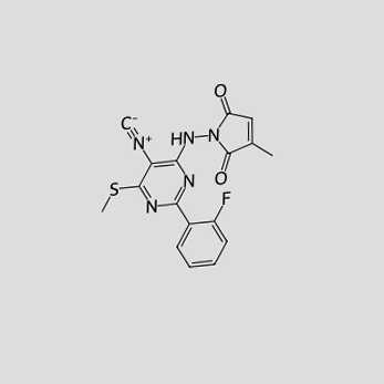 [C-]#[N+]c1c(NN2C(=O)C=C(C)C2=O)nc(-c2ccccc2F)nc1SC